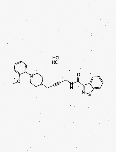 COc1ccccc1N1CCN(CC#CCNC(=O)c2nsc3ccccc23)CC1.Cl.Cl